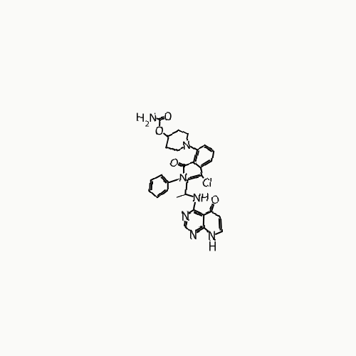 CC(Nc1ncnc2[nH]ccc(=O)c12)c1c(Cl)c2cccc(N3CCC(OC(N)=O)CC3)c2c(=O)n1-c1ccccc1